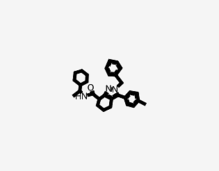 Cc1ccc(-c2c3c(nn2Cc2ccccc2)C(C(=O)NC(C)C2CCCCC2)CCC3)cc1